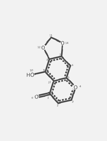 O=c1[c]coc2cc3c(c(O)c12)OCO3